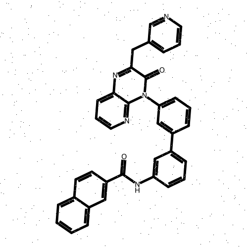 O=C(Nc1cccc(-c2cccc(-n3c(=O)c(Cc4cccnc4)nc4cccnc43)c2)c1)c1ccc2ccccc2c1